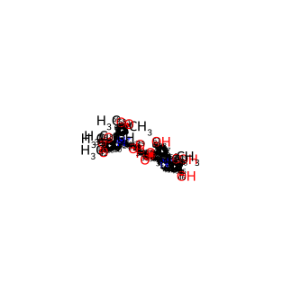 COc1ccc(CC2c3c(cc(OC)c(OC)c3OC)CC[N+]2(C)CCCOC(=O)CCC(=O)OCCC[N+]2(C)CCc3cc(CO)c(CO)c(OC)c3C2Cc2ccc(CO)c(CO)c2)cc1OC